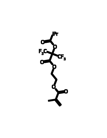 C=C(C)C(=O)OCCOC(=O)C(OC(=O)C(C)C)(C(F)(F)F)C(F)(F)F